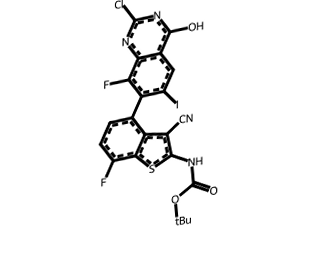 CC(C)(C)OC(=O)Nc1sc2c(F)ccc(-c3c(I)cc4c(O)nc(Cl)nc4c3F)c2c1C#N